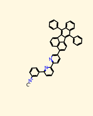 [C-]#[N+]c1cccc(-c2cccc(-c3ccc(-c4ccc5c6c(cccc46)-c4c-5c(-c5ccccc5)c5ccccc5c4-c4ccccc4)cn3)n2)c1